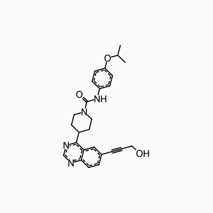 CC(C)Oc1ccc(NC(=O)N2CCC(c3ncnc4ccc(C#CCO)cc34)CC2)cc1